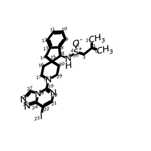 CC(C)C[S@@+]([O-])N[C@@H]1c2ccccc2CC12CCN(c1ncc(I)c3nncn13)CC2